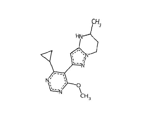 COc1ncnc(C2CC2)c1-c1cc2n(n1)CCC(C)N2